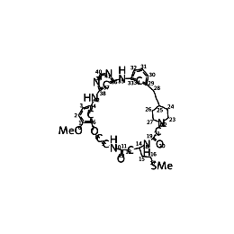 COc1ccc2cc1OCCNC(=O)CC(CCSC)NC(=O)CN1CCC(CC1)Cc1cccc(c1)Nc1cc(ncn1)N2